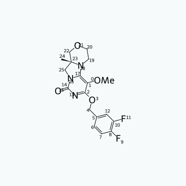 COc1c(OCc2ccc(F)c(F)c2)nc(=O)n2c1N1CCOC[C@@]1(C)C2